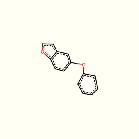 c1ccc(Oc2ccc3occc3c2)cc1